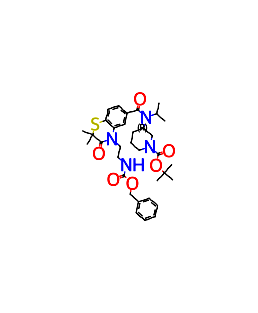 CC(C)N(C(=O)c1ccc2c(c1)N(CCNC(=O)OCc1ccccc1)C(=O)C(C)(C)S2)[C@@H]1CCCN(C(=O)OC(C)(C)C)C1